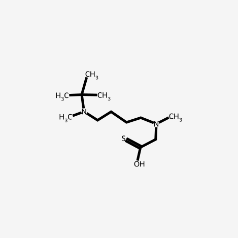 CN(CCCCN(C)C(C)(C)C)CC(O)=S